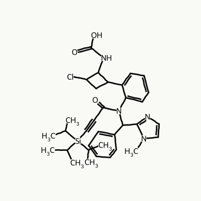 CC(C)[Si](C#CC(=O)N(c1ccccc1C1CC(Cl)C1NC(=O)O)C(c1ccccc1)c1nccn1C)(C(C)C)C(C)C